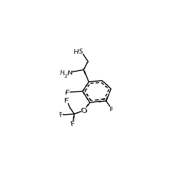 NC(CS)c1ccc(F)c(OC(F)(F)F)c1F